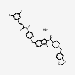 Br.CN(C(=O)C=Cc1cc(F)cc(F)c1)c1ccc(Oc2ccc3c(c2)cc(C(=O)N2CCN(Cc4ccc5c(c4)OCO5)CC2)n3C)nc1